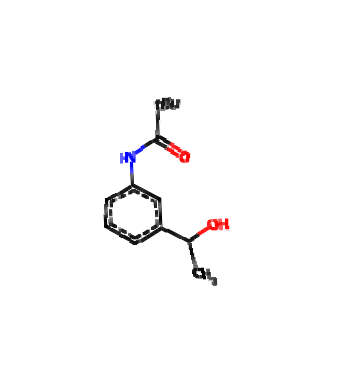 CC(O)c1cccc(NC(=O)C(C)(C)C)c1